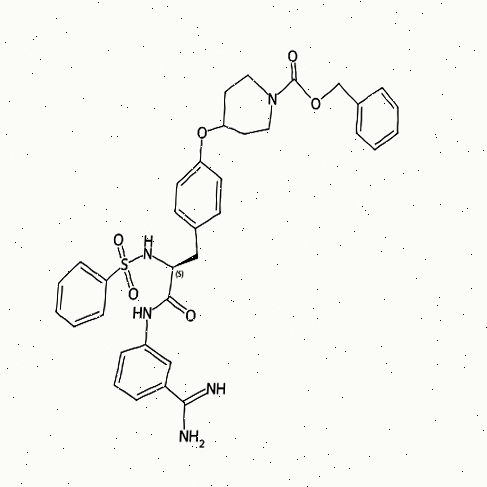 N=C(N)c1cccc(NC(=O)[C@H](Cc2ccc(OC3CCN(C(=O)OCc4ccccc4)CC3)cc2)NS(=O)(=O)c2ccccc2)c1